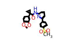 CS(=O)(=O)c1ccc(-c2cccc(NC(=O)C3(c4ccc5c(c4)OCO5)CC3)n2)cc1